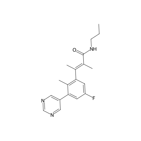 CCCNC(=O)/C(C)=C(\C)c1cc(F)cc(-c2cncnc2)c1C